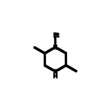 CCN1CC(C)NCC1C